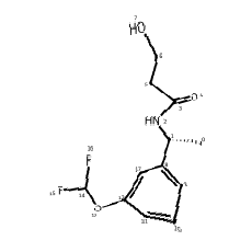 C[C@@H](NC(=O)CCO)c1cccc(OC(F)F)c1